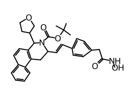 CC(C)(C)OC(=O)N1C(/C=C/c2ccc(CC(=O)NO)cc2)Cc2c(ccc3ccccc23)C1C1CCOC1